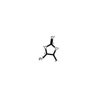 [CH2]C1OC(=O)OC1C(C)C